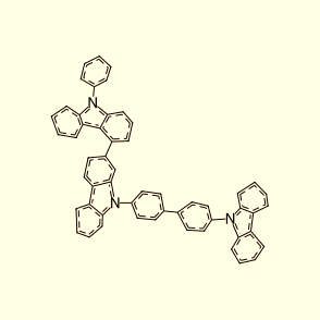 c1ccc(-n2c3ccccc3c3c(-c4ccc5c6ccccc6n(-c6ccc(-c7ccc(-n8c9ccccc9c9ccccc98)cc7)cc6)c5c4)cccc32)cc1